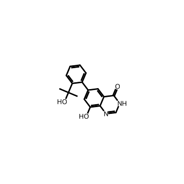 CC(C)(O)c1ccccc1-c1cc(O)c2nc[nH]c(=O)c2c1